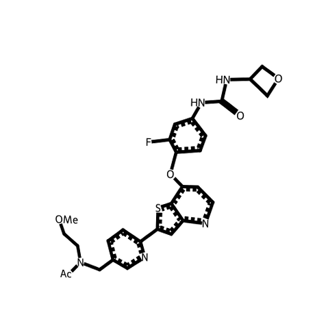 COCCN(Cc1ccc(-c2cc3nccc(Oc4ccc(NC(=O)NC5COC5)cc4F)c3s2)nc1)C(C)=O